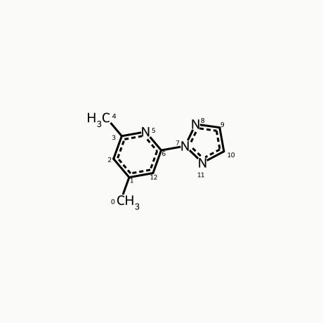 Cc1cc(C)nc(-n2nccn2)c1